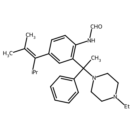 CCN1CCN(C(C)(c2ccccc2)c2cc(C(=C(C)C)C(C)C)ccc2NC=O)CC1